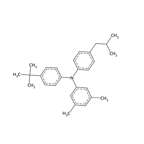 Cc1cc(C)cc(N(c2ccc(CC(C)C)cc2)c2ccc(C(C)(C)C)cc2)c1